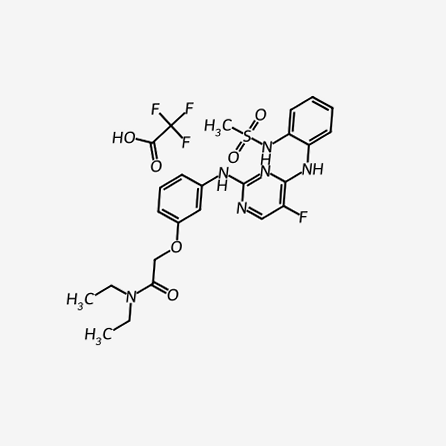 CCN(CC)C(=O)COc1cccc(Nc2ncc(F)c(Nc3ccccc3NS(C)(=O)=O)n2)c1.O=C(O)C(F)(F)F